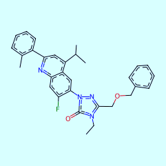 CCn1c(COCc2ccccc2)nn(-c2cc3c(C(C)C)cc(-c4ccccc4C)nc3cc2F)c1=O